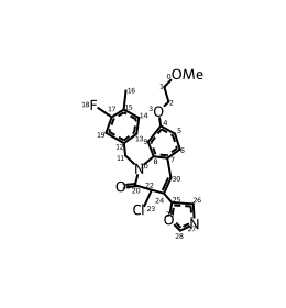 COCCOc1ccc2c(c1)N(Cc1ccc(C)c(F)c1)C(=O)C(Cl)C(c1cnco1)=C2